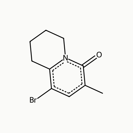 Cc1cc(Br)c2n(c1=O)CCCC2